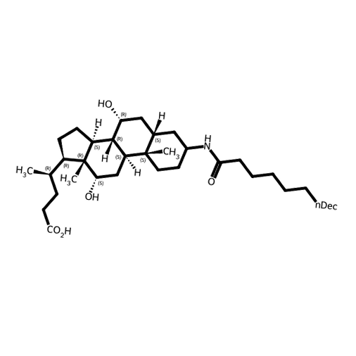 CCCCCCCCCCCCCCCC(=O)NC1CC[C@@]2(C)[C@@H](C1)C[C@@H](O)[C@@H]1[C@@H]2C[C@H](O)[C@]2(C)[C@@H]([C@H](C)CCC(=O)O)CC[C@@H]12